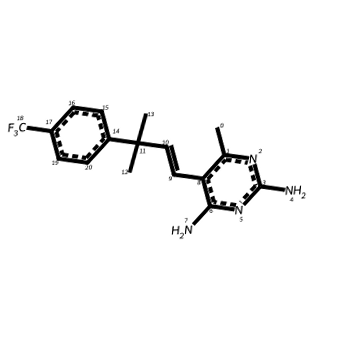 Cc1nc(N)nc(N)c1C=CC(C)(C)c1ccc(C(F)(F)F)cc1